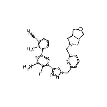 Cc1c(C#N)cccc1-c1nc(N)c(F)c(-c2cn(Cc3cccc(CN4CC5COCC5C4)n3)nn2)n1